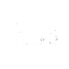 NCc1ccc(CN2CCC(CNc3ncnc4sc(CC(F)(F)F)cc34)CC2)cc1